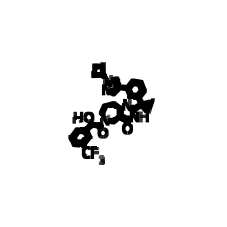 O=C(C(O)c1cccc(C(F)(F)F)c1)N1CCCc2nc(C3(c4cccc(-c5cnn(C6CCC6)c5)c4)CC3)[nH]c(=O)c2C1